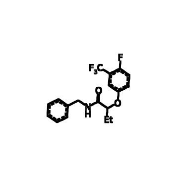 CCC(Oc1ccc(F)c(C(F)(F)F)c1)C(=O)NCc1ccccc1